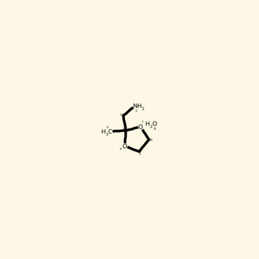 CC1(CN)OCCO1.O